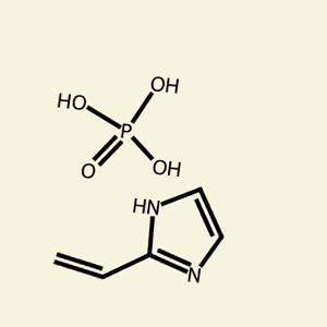 C=Cc1ncc[nH]1.O=P(O)(O)O